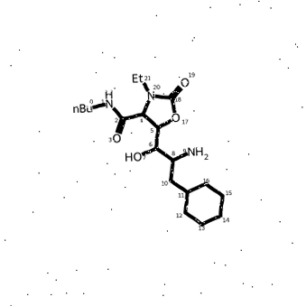 CCCCNC(=O)C1C(C(O)C(N)CC2CCCCC2)OC(=O)N1CC